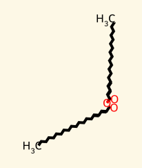 CCCCCCCCCCCCCCC/C=C/C=C/C(=O)OC(=O)/C=C/C=C/CCCCCCCCCCCCCCC